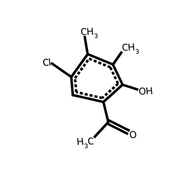 CC(=O)c1cc(Cl)c(C)c(C)c1O